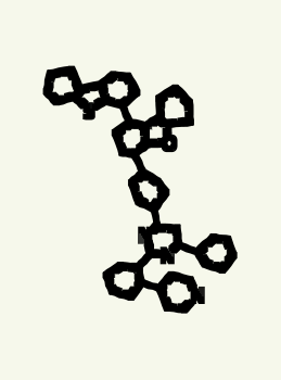 c1ccc(-c2cc(-c3ccc(-c4ccc(-c5cccc6c5sc5ccccc56)c5c4oc4ccccc45)cc3)nc(-c3ccccc3-c3ccncc3)n2)cc1